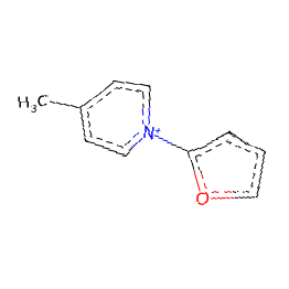 Cc1cc[n+](-c2ccco2)cc1